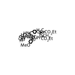 CCOC(=O)[C@H](C)CP(=O)(COc1ccc(C[C@H](NC(=O)O[C@H]2CO[C@H]3OCC[C@H]32)[C@H](O)CN(CC(C)C)S(=O)(=O)c2ccc(OC)cc2)cc1)O[C@@H](C)C(=O)OCC